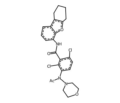 CC(=O)N(c1ccc(Cl)c(C(=O)Nc2cccc3c4c(oc23)CCCC4)c1Cl)N1CCOCC1